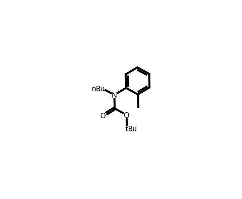 CCCCN(C(=O)OC(C)(C)C)c1ccccc1C